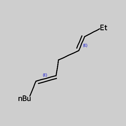 [CH2]CCC/C=C/C/C=C/CC